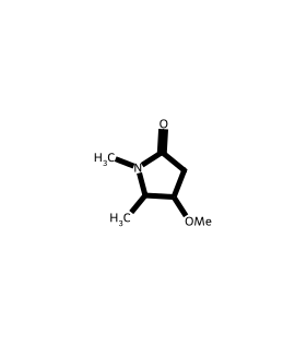 COC1CC(=O)N(C)C1C